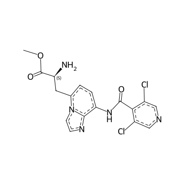 COC(=O)[C@@H](N)Cc1ccc(NC(=O)c2c(Cl)cncc2Cl)c2nccn12